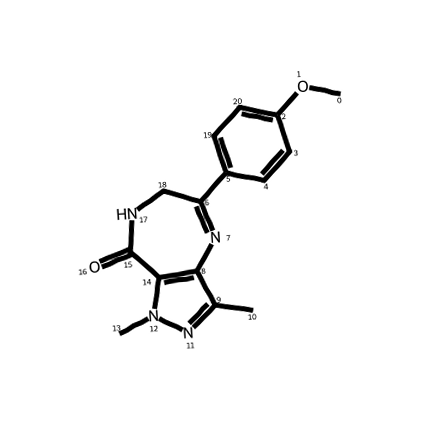 COc1ccc(C2=Nc3c(C)nn(C)c3C(=O)NC2)cc1